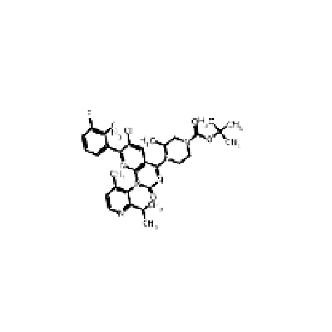 Cc1ccnc(C(C)C)c1-n1c(=O)nc(N2CCN(C(=O)OC(C)(C)C)CC2C)c2cc(Cl)c(-c3cccc(F)c3C)nc21